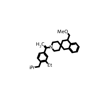 C=C(c1ccc(CC(C)C)c(CC)c1)N1CCC2(CC1)Cc1ccccc1C(COC)C2